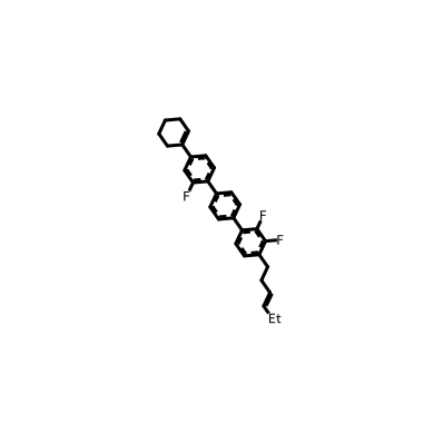 CC/C=C/CCc1ccc(-c2ccc(-c3ccc(C4=CCCCC4)cc3F)cc2)c(F)c1F